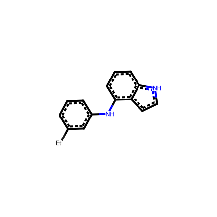 CCc1cccc(Nc2cccc3[nH]ccc23)c1